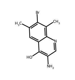 Cc1cc2c(O)c(N)cnc2c(C)c1Br